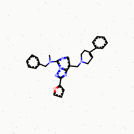 CN(Cc1ccccc1)c1ncc(CN2CC=C(c3ccccc3)CC2)c2nc(-c3ccco3)nn12